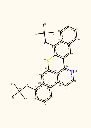 CC(C)(C)Cc1c2c(cc3ccccc13)-c1nccc3c1c(cc1c(CC(C)(C)C)cccc13)S2